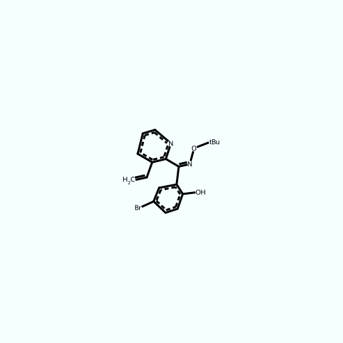 C=Cc1cccnc1/C(=N\OC(C)(C)C)c1cc(Br)ccc1O